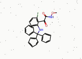 CONC(=O)C(=O)c1c(F)cccc1NC(c1ccccc1)(c1ccccc1)c1ccccc1